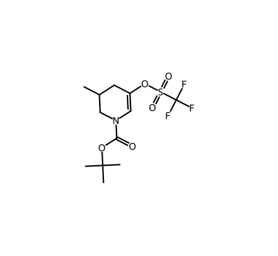 CC1CC(OS(=O)(=O)C(F)(F)F)=CN(C(=O)OC(C)(C)C)C1